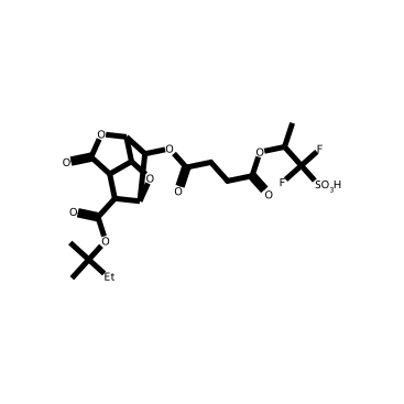 CCC(C)(C)OC(=O)C1C2OC3C(OC(=O)C31)C2OC(=O)CCC(=O)OC(C)C(F)(F)S(=O)(=O)O